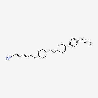 CCc1ccc([C@H]2CC[C@H](CC[C@H]3CC[C@H](CCC=CC=CC#N)CC3)CC2)cc1